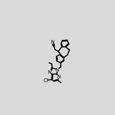 CCc1nc2c(Cl)cc(C)nc2n1Cc1ccc2c(c1)CCc1ccccc1C2CC#N